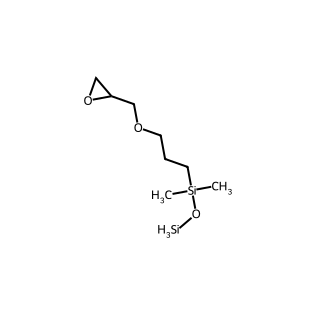 C[Si](C)(CCCOCC1CO1)O[SiH3]